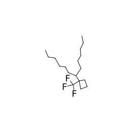 CCCCCCC(CCCCCC)C1(C(F)(F)F)CCC1